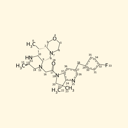 CC[C@@H]1COCCN1C[C@H]1CN[C@H](C)CN1CC(=O)N1CC(C)(C)c2ncc(Cc3ccc(F)cc3)cc21